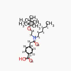 CCCCCCN(CCO[Si](C)(C)C(C)(C)C)C(=O)Cc1ccc(C(=O)O)cc1